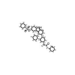 CN(C(=O)Cc1ccccn1)c1ccc(-c2cnc3[nH]c4ccc(OS(=O)(=O)c5ccccc5)cc4c3c2-c2ccccc2)cc1